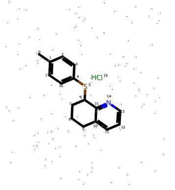 Cc1ccc(SC2CCCc3cccnc32)cc1.Cl